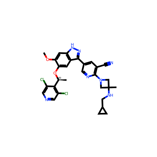 COc1cc2[nH]nc(-c3cnc(N4CC(C)(NCC5CC5)C4)c(C#N)c3)c2cc1O[C@@H](C)c1c(Cl)cncc1Cl